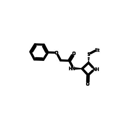 CCS[C@@H]1NC(=O)[C@H]1NC(=O)COc1ccccc1